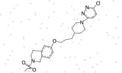 CS(=O)(=O)N1CCc2cc(OCCCC3CCN(c4ccc(Cl)nn4)CC3)ccc2C1